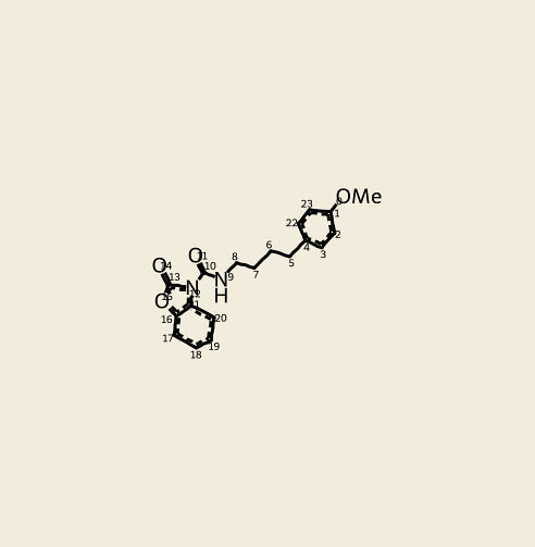 COc1ccc(CCCCNC(=O)n2c(=O)oc3ccccc32)cc1